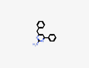 Nc1nc(Cc2ccccc2)cc(-c2ccccc2)n1